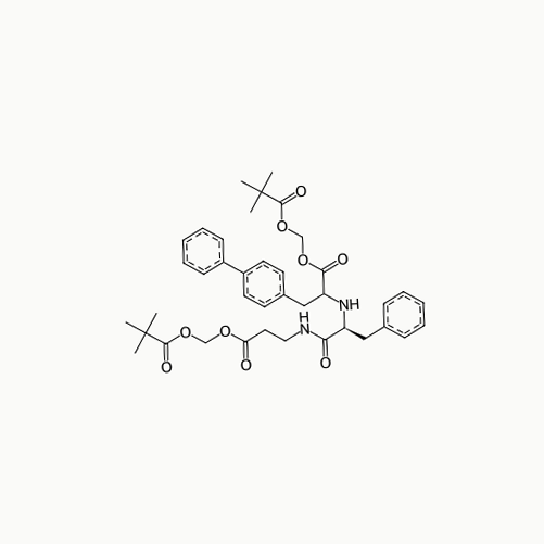 CC(C)(C)C(=O)OCOC(=O)CCNC(=O)[C@H](Cc1ccccc1)NC(Cc1ccc(-c2ccccc2)cc1)C(=O)OCOC(=O)C(C)(C)C